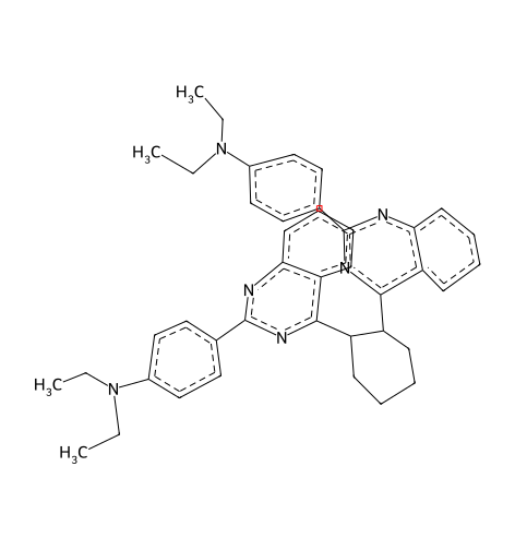 CCN(CC)c1ccc(-c2nc(C3CCCCC3c3nc(-c4ccc(N(CC)CC)cc4)nc4ccccc34)c3ccccc3n2)cc1